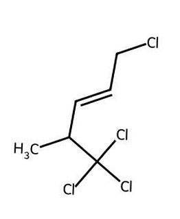 CC(/C=C/CCl)C(Cl)(Cl)Cl